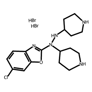 Br.Br.Clc1ccc2nc(N(NC3CCNCC3)C3CCNCC3)oc2c1